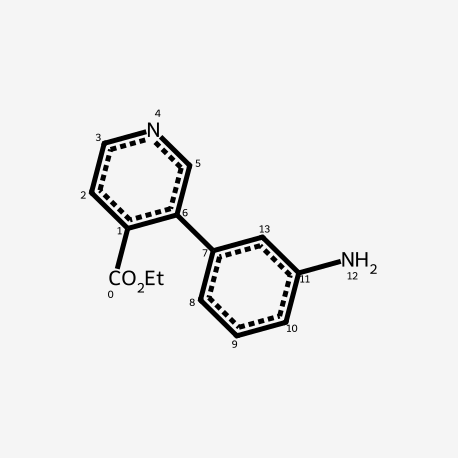 CCOC(=O)c1ccncc1-c1cccc(N)c1